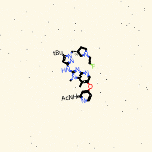 CC(=O)Nc1cc(Oc2cnc3nc(Nc4cc(C(C)(C)C)n(C[C@H]5CCN(CCF)C5)n4)n(C)c3c2C)ccn1